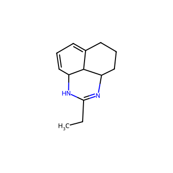 CCC1=NC2CCCC3=CC=CC(N1)C32